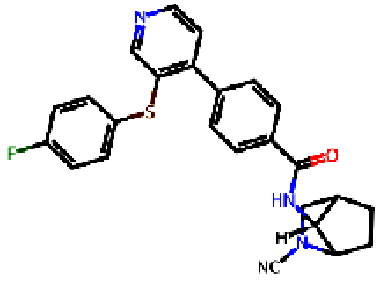 N#CN1CC2CCC1[C@@H]2NC(=O)c1ccc(-c2ccncc2Sc2ccc(F)cc2)cc1